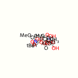 COc1ccc(C2OC(C(=O)O[C@H]3C[C@@]4(O)[C@@H](OC(=O)c5ccccc5)C([C@]5(OC(C)=O)CO[C@@H]5CCO)/C(C)=C(/O)C(=O)C(=C3C)C4(C)C)[C@H](CC(C)C)N2C(=O)OC(C)(C)C)c(OC)c1